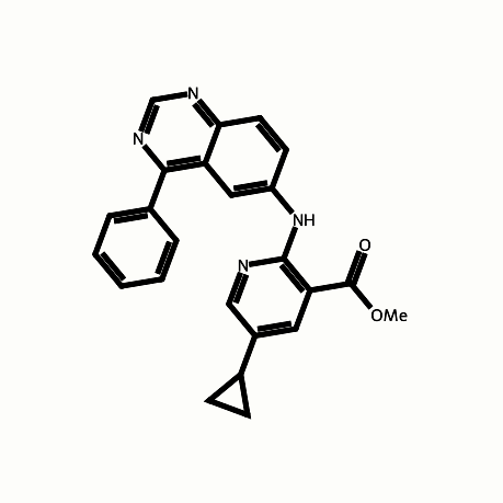 COC(=O)c1cc(C2CC2)cnc1Nc1ccc2ncnc(-c3ccccc3)c2c1